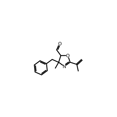 C=C(C)C1=NC(C)(Cc2ccccc2)C(C=O)O1